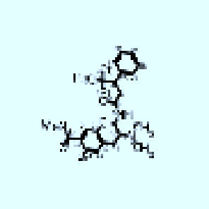 CCC(C)(CC)C(CC(=O)NCC(Cc1cc(F)c(C(=O)NC)cc1F)N(C)C)c1ccccc1